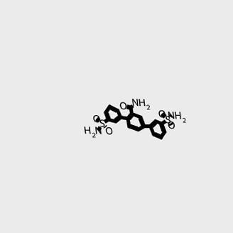 NC(=O)c1cc(-c2cccc(S(N)(=O)=O)c2)ccc1-c1cccc(S(N)(=O)=O)c1